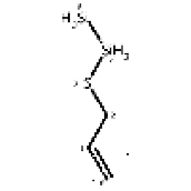 C=CCS[SiH2][SiH3]